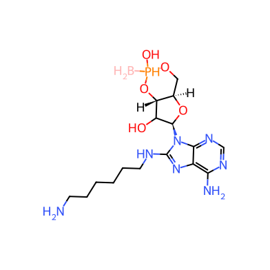 B[PH]1(O)OC[C@H]2O[C@@H](n3c(NCCCCCCN)nc4c(N)ncnc43)C(O)[C@@H]2O1